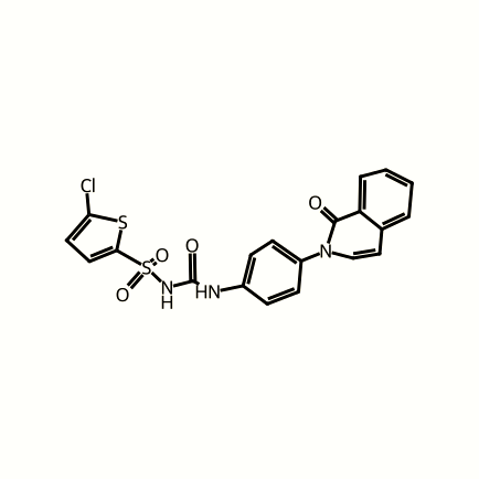 O=C(Nc1ccc(-n2ccc3ccccc3c2=O)cc1)NS(=O)(=O)c1ccc(Cl)s1